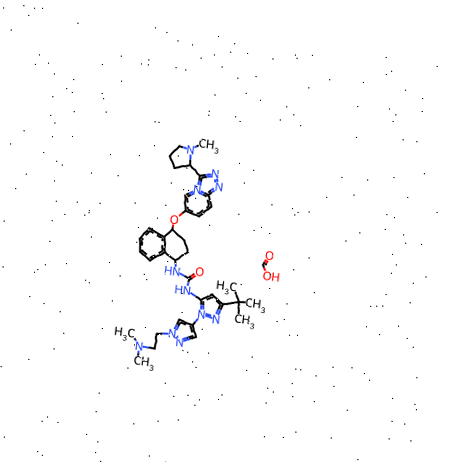 CN(C)CCn1cc(-n2nc(C(C)(C)C)cc2NC(=O)NC2CCC(Oc3ccc4nnc(C5CCCN5C)n4c3)c3ccccc32)cn1.O=CO